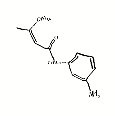 CO/C(C)=C\C(=O)Nc1cccc(N)c1